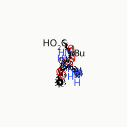 CC[C@H](C)[C@H](NC(=O)CCC(=O)O)C(=O)NCC(=O)N1C[C@H](OC(=O)Cc2ccccc2)CC1C(=O)NCc1nn[nH]n1